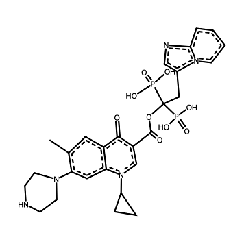 Cc1cc2c(=O)c(C(=O)OC(Cc3cnc4ccccn34)(P(=O)(O)O)P(=O)(O)O)cn(C3CC3)c2cc1N1CCNCC1